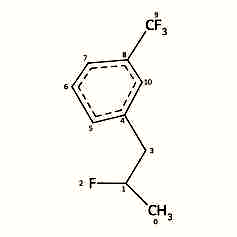 CC(F)Cc1cccc(C(F)(F)F)c1